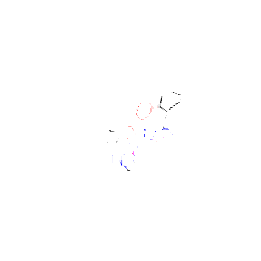 CCOc1ccccc1-c1noc(C2CCCN2C(=O)c2ccc(C)cc2-n2nccn2)n1